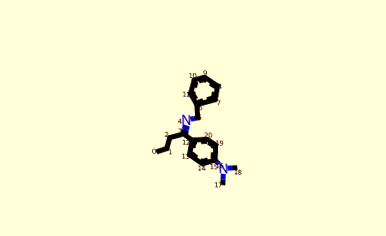 CCCC(=NCc1ccccc1)c1ccc(N(C)C)cc1